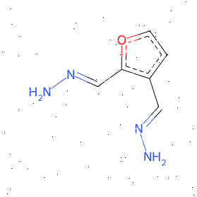 NN=Cc1ccoc1C=NN